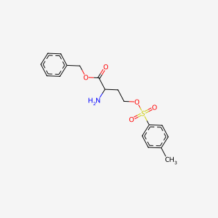 Cc1ccc(S(=O)(=O)OCCC(N)C(=O)OCc2ccccc2)cc1